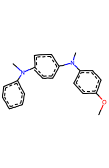 COc1ccc(N(C)c2ccc(N(C)c3ccccc3)cc2)cc1